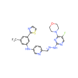 Fc1cnc(N/N=C/c2ccc(Nc3cc(-c4nccs4)cc(C(F)(F)F)c3)cn2)nc1N1CCOCC1